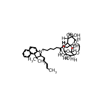 C/C=C/C=C/C1=[N+](CCCCCC(=O)NC[C@H]2O[C@@H]3CCCO[C@H]4[C@H](O)[C@@H](O)C(O[C@H]2[C@H](O)[C@H]3O)O[C@@H]4CO)c2ccc3ccccc3c2C1(C)C